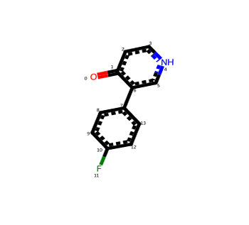 O=c1cc[nH]cc1-c1ccc(F)cc1